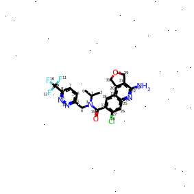 CC(C)N(Cc1ccc(C(F)(F)F)nn1)C(=O)c1cc2c3c(c(N)nc2cc1Cl)COC3